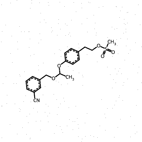 CC(OCc1cccc(C#N)c1)Oc1ccc(CCOS(C)(=O)=O)cc1